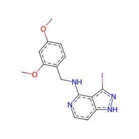 COc1ccc(CNc2nccc3[nH]nc(I)c23)c(OC)c1